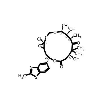 Cc1nc2cc([C@@H]3CC4O[C@]4(Cl)CCO[C@@H](C)[C@@H](O)[C@@H](C)C(=O)C(C)(C)[C@@H](O)CC(=O)O3)ccc2s1